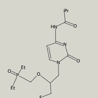 CCP(=O)(CC)COC(CF)Cn1ccc(NC(=O)C(C)C)nc1=O